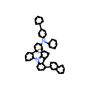 c1ccc(-c2ccc(N(c3ccccc3)c3ccc(-c4ccccc4-n4c5ccccc5c5c(-c6ccc7ccccc7c6)cccc54)cc3)cc2)cc1